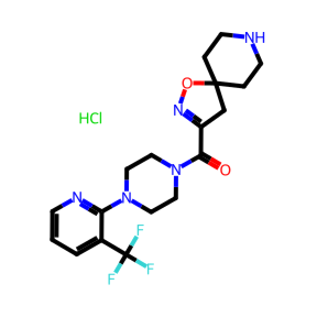 Cl.O=C(C1=NOC2(CCNCC2)C1)N1CCN(c2ncccc2C(F)(F)F)CC1